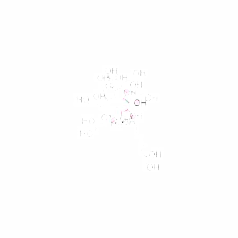 O=C(OCC(O)CO)C(CC(O)CO)C(CC(O)CO)C(CC(O)CO)C(CC(O)CO)C(CC(O)CO)C(CC(O)CO)C(C=CC(CCCCCCCCC(O)CO)CC(O)CO)CC(O)CO